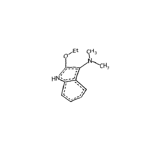 CCOc1[nH]c2ccccc2c1N(C)C